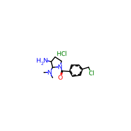 CN(C)C1C(N)CCN1C(=O)c1ccc(CCl)cc1.Cl